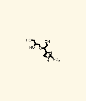 O=[N+]([O-])c1nc(C(CO)OCC(O)CO)c[nH]1